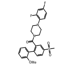 COc1ccccc1-c1ccc(S(C)(=O)=O)cc1C(=O)N1CCN(c2ccc(F)cc2F)CC1